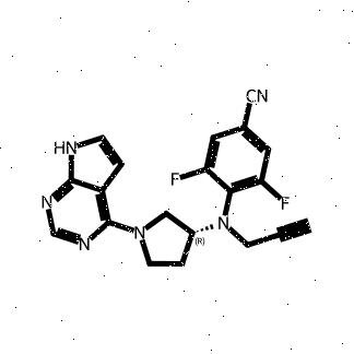 C#CCN(c1c(F)cc(C#N)cc1F)[C@@H]1CCN(c2ncnc3[nH]ccc23)C1